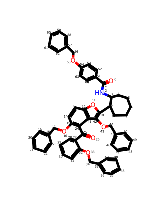 O=C(NC1CCCCCC1c1oc2ccc(OCc3ccccc3)c(C(=O)c3ccccc3OCc3ccccc3)c2c1OCc1ccccc1)c1ccc(OCc2ccccc2)cc1